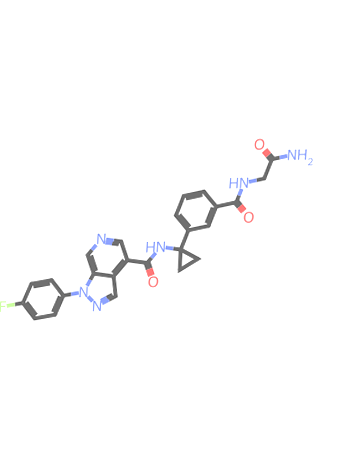 NC(=O)CNC(=O)c1cccc(C2(NC(=O)c3cncc4c3cnn4-c3ccc(F)cc3)CC2)c1